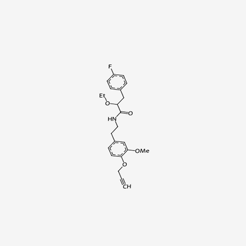 C#CCOc1ccc(CCNC(=O)C(Cc2ccc(F)cc2)OCC)cc1OC